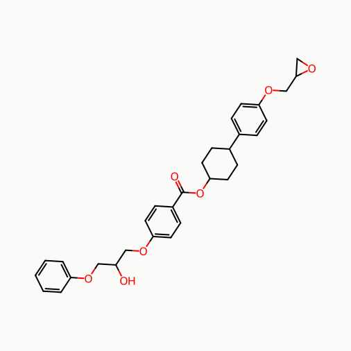 O=C(OC1CCC(c2ccc(OCC3CO3)cc2)CC1)c1ccc(OCC(O)COc2ccccc2)cc1